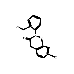 O=C1Cc2ccc(Cl)cc2ON1c1ccccc1CCl